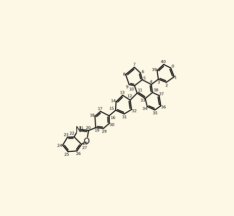 c1ccc(-c2c3ccccc3c(-c3ccc(-c4ccc(-c5nc6ccccc6o5)cc4)cc3)c3ccccc23)cc1